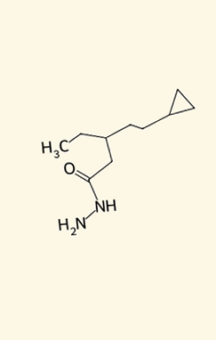 CCC(CCC1CC1)CC(=O)NN